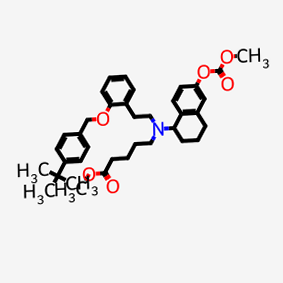 COC(=O)CCCCN(CCc1ccccc1OCc1ccc(C(C)(C)C)cc1)C1CCCc2cc(OC(=O)OC)ccc21